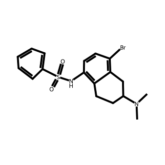 CN(C)C1CCc2c(NS(=O)(=O)c3ccccc3)ccc(Br)c2C1